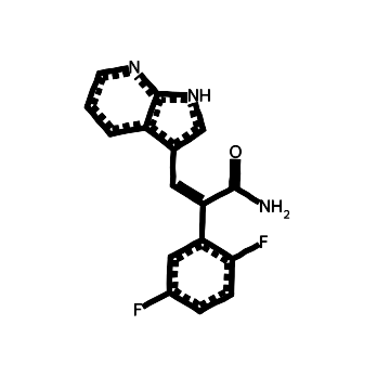 NC(=O)/C(=C\c1c[nH]c2ncccc12)c1cc(F)ccc1F